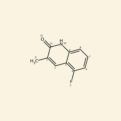 Cc1cc2c(F)cccc2[nH]c1=O